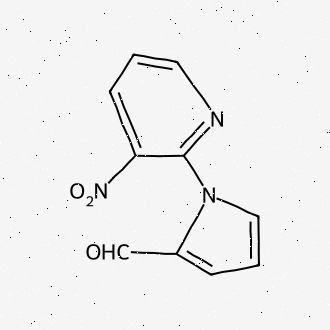 O=Cc1cccn1-c1ncccc1[N+](=O)[O-]